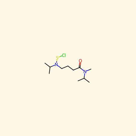 CC(C)N(CCCC(=O)N(C)C(C)C)SCl